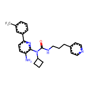 Nc1ccc(-c2cccc(C(F)(F)F)c2)nc1N(C(=O)NCCCc1ccncc1)C1CCC1